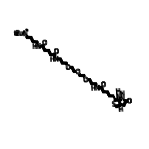 CN(CCCCNC(=O)CCCC(=O)NCCCOCCOCCOCCCNC(=O)CCCC[C@@H]1SC[C@@H]2CC(=O)N[C@@]21N)C(C)(C)C